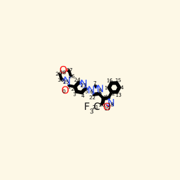 O=C(c1ccc(-n2cnc(-c3c(-c4ccccc4)noc3C(F)(F)F)c2)nc1)N1CCOCC1